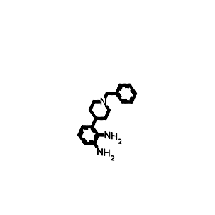 Nc1cccc(C2CCN(Cc3ccccc3)CC2)c1N